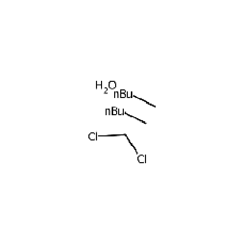 CCCCC.CCCCC.ClCCl.O